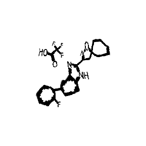 Fc1ccccc1-c1ccc2[nH]c(C3=NOC4(CCCCC4)C3)nc2c1.O=C(O)C(F)(F)F